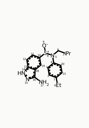 CCc1ccc(N(CC(C)C)[S+]([O-])c2ccc3[nH]nc(N)c3c2)cc1